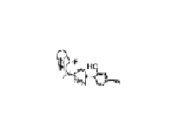 C#Cc1ccc(-c2ccc(N(C)[C@@H]3CC4CCC(N4)[C@@H]3F)nn2)c(O)c1